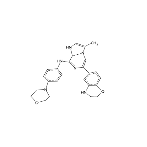 CC1=CNC2C(Nc3ccc(N4CCOCC4)cc3)=NC(c3ccc4c(c3)NCCO4)=CN12